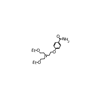 CCOCCN(CCOCC)CCOc1ccc(C(N)=O)cc1